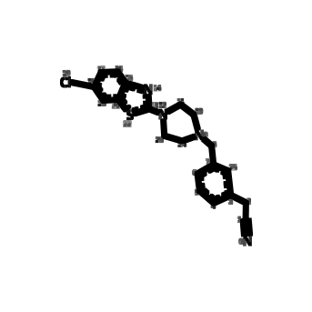 N#CCc1cccc(CN2CCN(c3nc4ccc(Cl)cc4s3)CC2)c1